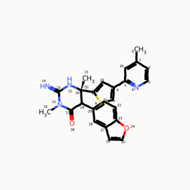 Cc1ccnc(-c2csc([C@@]3(C)NC(=N)N(C)C(=O)C3c3ccc4occc4c3)c2)c1